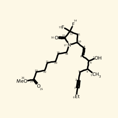 CCC#CCC(C)C(O)/C=C/C1CC(F)(F)C(=O)N1CCCCCCC(=O)OC